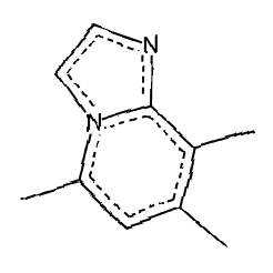 Cc1cc(C)n2ccnc2c1C